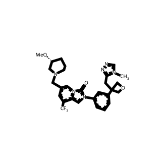 CO[C@@H]1CCCN(Cc2cc(C(F)(F)F)c3cn(-c4cccc(C5(Cc6nncn6C)COC5)c4)c(=O)n3c2)C1